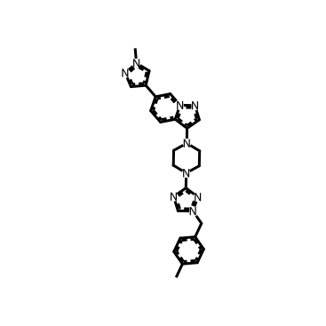 Cc1ccc(Cn2cnc(N3CCN(c4cnn5cc(-c6cnn(C)c6)ccc45)CC3)n2)cc1